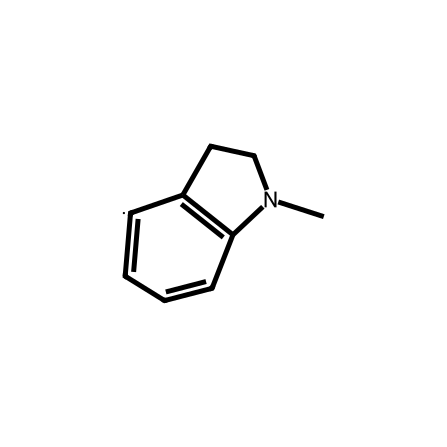 CN1CCc2[c]cccc21